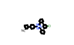 N#Cc1cccc(-c2ccc(-c3nc(-c4ccccc4)nc(-c4ccccc4-c4cccc(Cl)c4)n3)cc2)c1